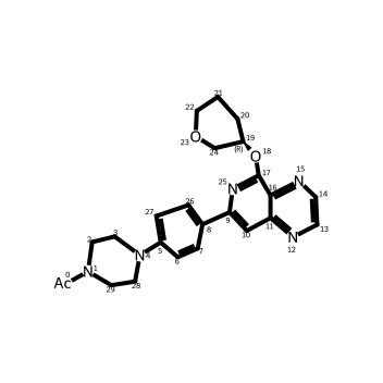 CC(=O)N1CCN(c2ccc(-c3cc4nccnc4c(O[C@@H]4CCCOC4)n3)cc2)CC1